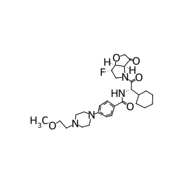 COCCN1CCN(c2ccc(C(=O)N[C@H](C(=O)N3C[C@H](F)[C@H]4OCC(=O)[C@H]43)C3CCCCC3)cc2)CC1